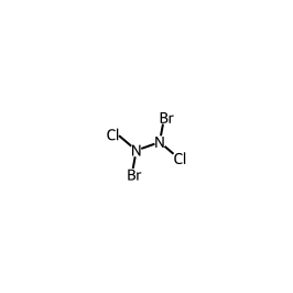 ClN(Br)N(Cl)Br